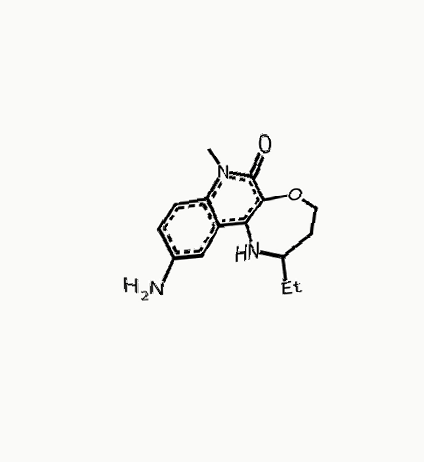 CCC1CCOc2c(c3cc(N)ccc3n(C)c2=O)N1